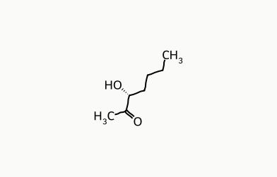 CCCC[C@@H](O)C(C)=O